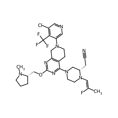 CC(F)=CN1CCN(c2nc(OC[C@@H]3CCCN3C)nc3c2CCN(c2cncc(Cl)c2C(F)(F)F)C3)C[C@@H]1CC#N